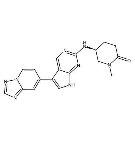 CN1C[C@@H](Nc2ncc3c(-c4ccn5ncnc5c4)c[nH]c3n2)CCC1=O